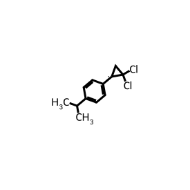 CC(C)c1ccc([C]2CC2(Cl)Cl)cc1